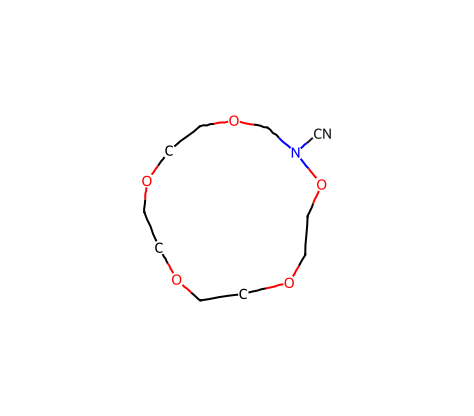 N#CN1COCCOCCOCCOCCO1